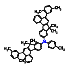 Cc1ccc(N(c2ccc3c(c2)C(C)(C)c2cc(-c4cc(C)ccc4C)c4ccccc4c2-3)c2ccc3c(c2)C(C)(C)c2cc(-c4cc(C)ccc4C)c4ccccc4c2-3)cc1